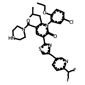 CCOc1ccc(Cl)cc1-n1c(CC(C)C)c(C(=O)N2CCNCC2)cc(-c2nc(-c3ccc(C(F)F)nc3)cs2)c1=O